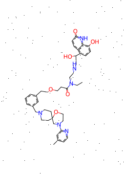 CCN(CCNCC(O)c1ccc(O)c2[nH]c(=O)ccc12)C(=O)CCOCCc1cccc(CN2CCC3(CC2)CN(c2cc(C)ccn2)CCO3)c1